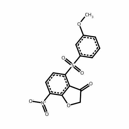 COc1cccc(S(=O)(=O)c2ccc([N+](=O)[O-])c3c2C(=O)CO3)c1